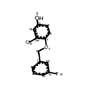 Oc1ccc(OCc2cccc(F)c2)c(Cl)c1